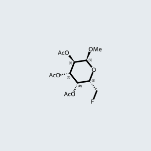 CO[C@H]1O[C@H](CF)[C@H](OC(C)=O)[C@H](OC(C)=O)[C@H]1OC(C)=O